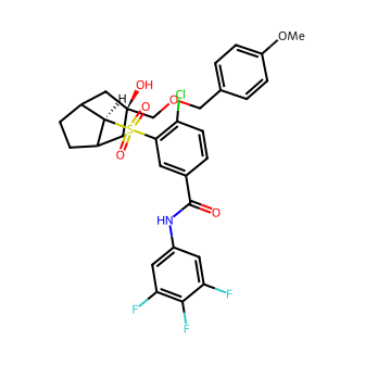 COc1ccc(COC[C@]2(O)CC3CCC(C2)[C@H]3S(=O)(=O)c2cc(C(=O)Nc3cc(F)c(F)c(F)c3)ccc2Cl)cc1